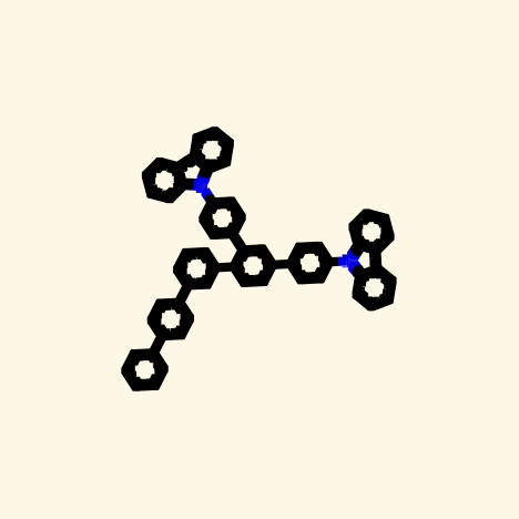 c1ccc(-c2ccc(-c3cccc(-c4ccc(-c5ccc(-n6c7ccccc7c7ccccc76)cc5)cc4-c4ccc(-n5c6ccccc6c6ccccc65)cc4)c3)cc2)cc1